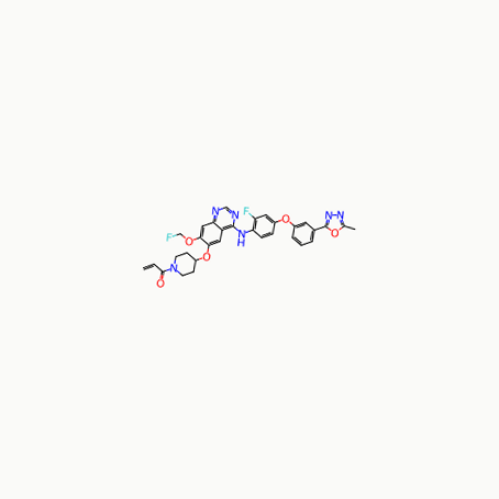 C=CC(=O)N1CCC(Oc2cc3c(Nc4ccc(Oc5cccc(-c6nnc(C)o6)c5)cc4F)ncnc3cc2OCF)CC1